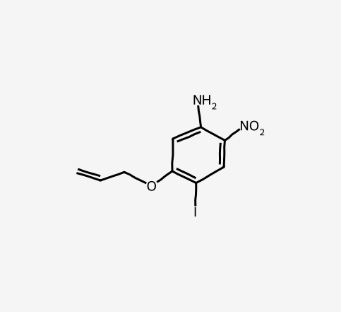 C=CCOc1cc(N)c([N+](=O)[O-])cc1I